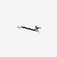 CCCCCCCCCCCC(N)OS(=O)(=O)O